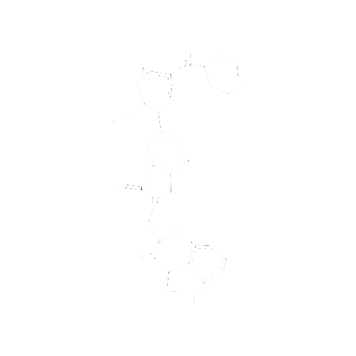 CC(NC(=O)CN1Cc2ccc(-c3nc(NC4CCOCC4)ncc3Cl)cc2C1=O)c1ncccc1F